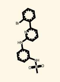 CS(=O)(=O)Nc1cccc(Nc2cccc(-c3ccccc3Br)n2)c1